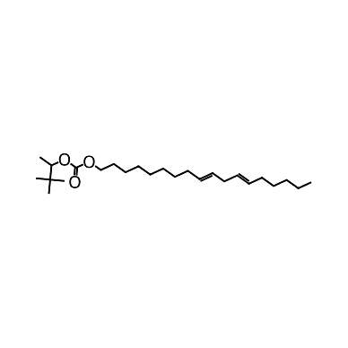 CCCCC/C=C/C/C=C/CCCCCCCCOC(=O)OC(C)C(C)(C)C